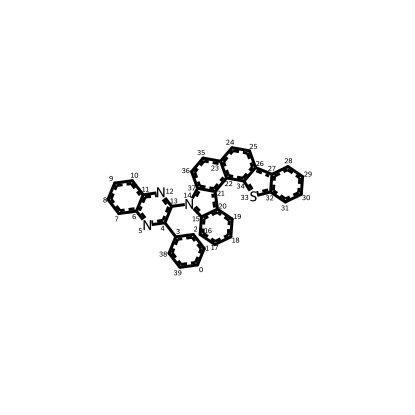 c1ccc(-c2nc3ccccc3nc2-n2c3ccccc3c3c4c(ccc5c6ccccc6sc54)ccc32)cc1